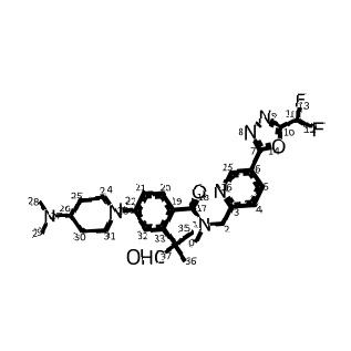 CN(Cc1ccc(-c2nnc(C(F)F)o2)cn1)C(=O)c1ccc(N2CCC(N(C)C)CC2)cc1C(C)(C)C=O